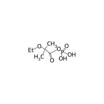 CCOC(C)(C)C(=O)OP(=O)(O)O